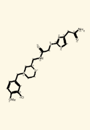 COc1ccc(CN2CCOC(CNC(=O)CSc3nc(CC(N)=O)cs3)C2)cc1Cl